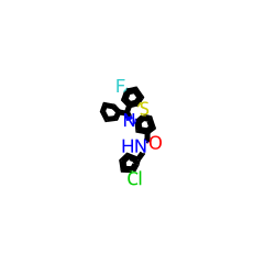 O=C(NCc1cccc(Cl)c1)c1ccc2c(c1)N=C(C1CCCCC1)c1cc(F)ccc1S2